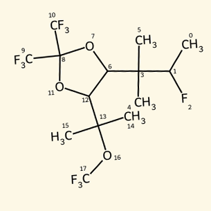 CC(F)C(C)(C)C1OC(C(F)(F)F)(C(F)(F)F)OC1C(C)(C)OC(F)(F)F